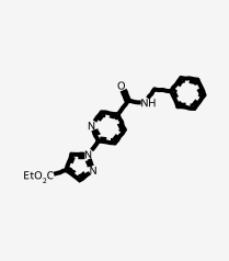 CCOC(=O)c1cnn(-c2ccc(C(=O)NCc3ccccc3)cn2)c1